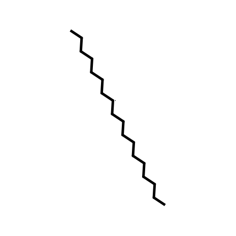 CCCCCCC[CH]CCCCCCCCCC